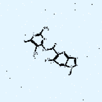 Cc1nc(N)nc(NC(C)c2nc3ccn(C)c3cc2Br)c1C#N